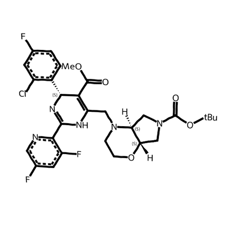 COC(=O)C1=C(CN2CCO[C@H]3CN(C(=O)OC(C)(C)C)C[C@@H]32)NC(c2ncc(F)cc2F)=N[C@@H]1c1ccc(F)cc1Cl